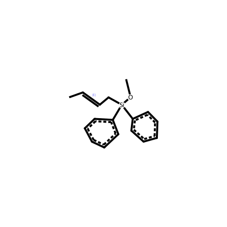 C/C=C/C[Si](OC)(c1ccccc1)c1ccccc1